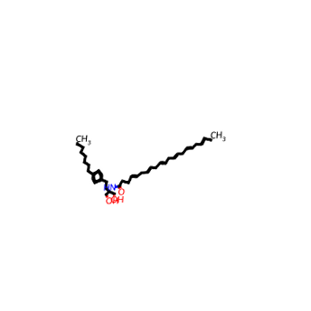 CCC=CCC=CCC=CCC=CCC=CCC=CCCC(=O)NC(CO)(CO)CCc1ccc(CCCCCCCC)cc1